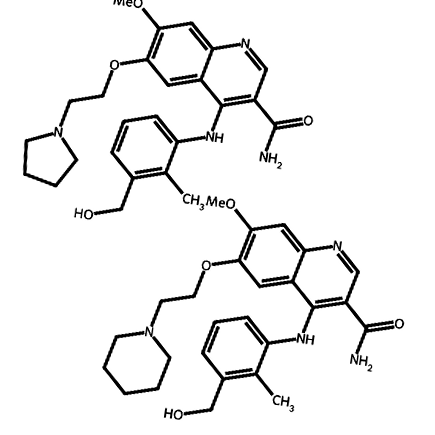 COc1cc2ncc(C(N)=O)c(Nc3cccc(CO)c3C)c2cc1OCCN1CCCC1.COc1cc2ncc(C(N)=O)c(Nc3cccc(CO)c3C)c2cc1OCCN1CCCCC1